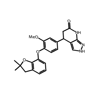 COc1cc(C2CC(=O)Nc3n[nH]cc32)ccc1Oc1cccc2c1OC(C)(C)C2